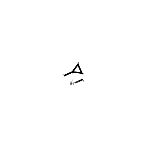 CC1[CH]C1.[CH2]C(C)C